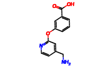 NCc1ccnc(Oc2cccc(C(=O)O)c2)c1